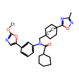 CCOc1ncc(-c2cccc(N(CC34CCC(c5nc(C)no5)(CC3)CC4)C(=O)C3CCCCC3)c2)o1